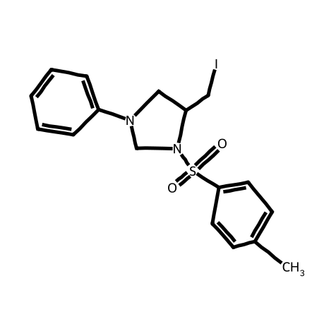 Cc1ccc(S(=O)(=O)N2CN(c3ccccc3)CC2CI)cc1